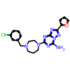 Nc1nc(N2CCCN(Cc3cccc(Cl)c3)CC2)nc2nc(-c3ccco3)nn12